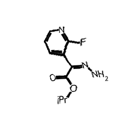 CC(C)OC(=O)/C(=N\N)c1cccnc1F